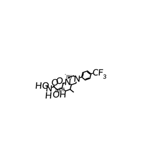 CC1C[C@@H]([C@H](O)C(=O)NO)C(=O)N2C1CN(c1ccc(C(F)(F)F)cc1)C[C@H]2C